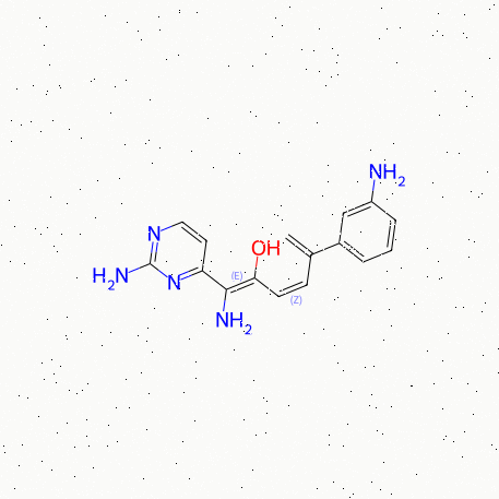 C=C(/C=C\C(O)=C(/N)c1ccnc(N)n1)c1cccc(N)c1